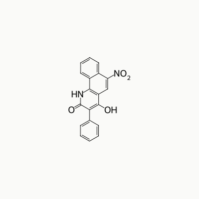 O=c1[nH]c2c(cc([N+](=O)[O-])c3ccccc32)c(O)c1-c1ccccc1